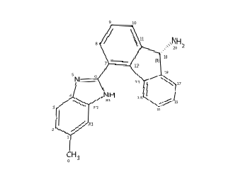 Cc1ccc2nc(-c3cccc4c3-c3ccccc3[C@H]4N)[nH]c2c1